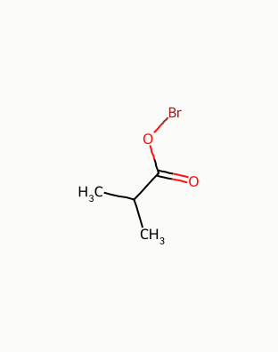 CC(C)C(=O)OBr